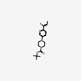 C/C=C(\F)c1ccc(N2CCN(C(=O)OC(C)(C)C)CC2)cn1